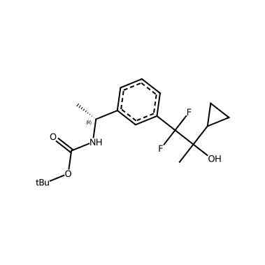 C[C@@H](NC(=O)OC(C)(C)C)c1cccc(C(F)(F)C(C)(O)C2CC2)c1